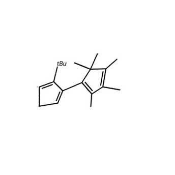 CC1=C(C)C(C)(C)C(C2=CC[C]=C2C(C)(C)C)=C1C